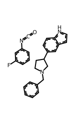 O=C=Nc1cccc(F)c1.c1ccc(CN2CCC(c3ccc4[nH]ccc4c3)C2)cc1